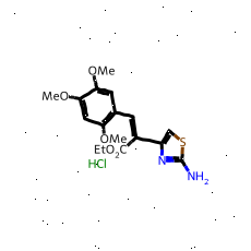 CCOC(=O)C(=Cc1cc(OC)c(OC)cc1OC)c1csc(N)n1.Cl